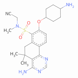 CN(CC#N)S(=O)(=O)c1c(OC2CCC(N)CC2)ccc2c1CC(C)(C)c1c(N)ncnc1-2